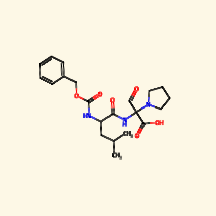 CC(C)CC(NC(=O)OCc1ccccc1)C(=O)NC(C=O)(C(=O)O)N1CCCC1